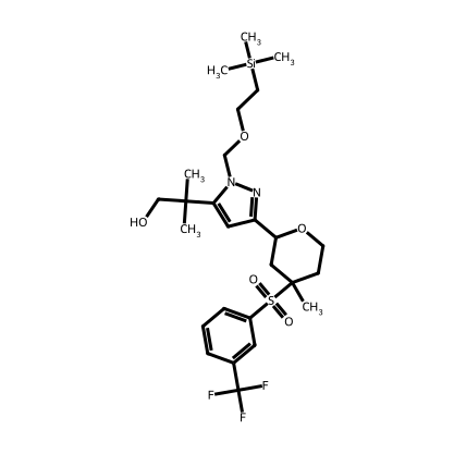 CC(C)(CO)c1cc(C2CC(C)(S(=O)(=O)c3cccc(C(F)(F)F)c3)CCO2)nn1COCC[Si](C)(C)C